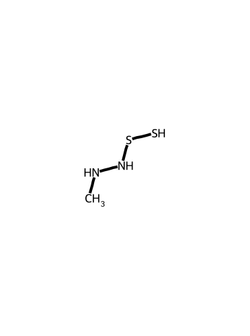 CNNSS